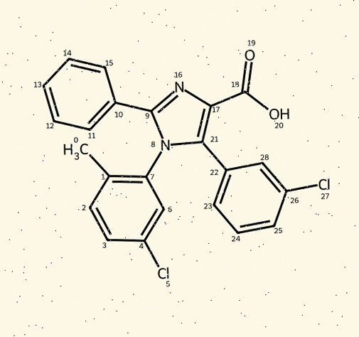 Cc1ccc(Cl)cc1-n1c(-c2ccccc2)nc(C(=O)O)c1-c1cccc(Cl)c1